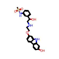 CS(=O)(=O)Nc1cccc(C(O)CNCCOc2ccc3c(c2)[nH]c2cc(O)ccc23)c1